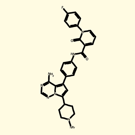 CCCN1CCC(c2cc(-c3ccc(NC(=O)c4cccn(-c5ccc(F)cc5)c4=O)cc3)c3c(N)ncnn23)CC1